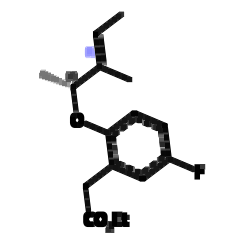 C/C=C(\C)[C@@H](C)Oc1ccc(F)cc1CC(=O)OCC